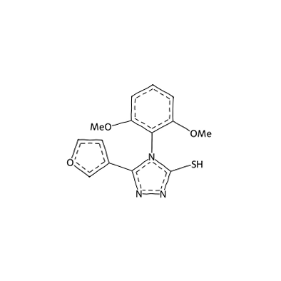 COc1cccc(OC)c1-n1c(S)nnc1-c1ccoc1